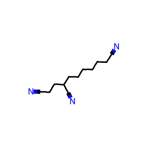 N#CCCCCCCC(C#N)CCC#N